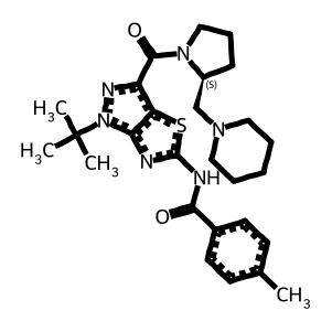 Cc1ccc(C(=O)Nc2nc3c(s2)c(C(=O)N2CCC[C@H]2CN2CCCCC2)nn3C(C)(C)C)cc1